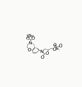 CC(C)(C)OC(=O)N1CCOc2ccc(N3CC(COS(C)(=O)=O)OC3=O)cc2C1